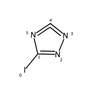 IC1=NN=C=N1